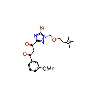 COc1cccc(C(=O)CC(=O)c2nc(Br)n(COCC[Si](C)(C)C)n2)c1